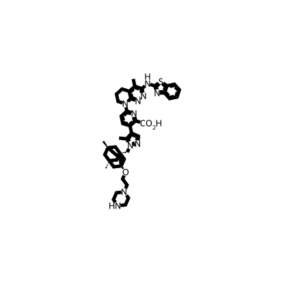 Cc1c(Nc2nc3ccccc3s2)nnc2c1CCCN2c1ccc(-c2cnn(C[C@]34C[C@]5(C)C[C@](C)(C3)C[C@@](OCCN3CCNCC3)(C5)C4)c2C)c(C(=O)O)n1